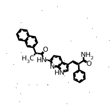 CC(C(=O)Nc1ccc2c(/C=C(/C(N)=O)c3ccccc3)c[nH]c2n1)c1ccc2ccccc2c1